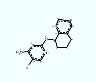 Cc1nc(OC2CCCc3cccnc32)ncc1F